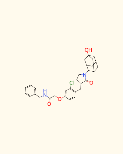 O=C(COc1ccc(CC2CCN(C3C4CC5CC3CC(O)(C5)C4)C2=O)c(Cl)c1)NCc1ccccc1